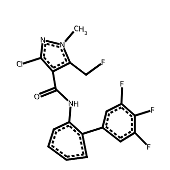 Cn1nc(Cl)c(C(=O)Nc2ccccc2-c2cc(F)c(F)c(F)c2)c1CF